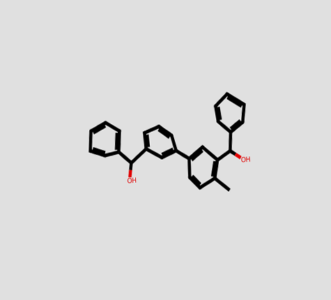 Cc1ccc(-c2cccc(C(O)c3ccccc3)c2)cc1C(O)c1ccccc1